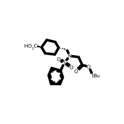 CC(C)(C)OC(=O)CN(C[C@H]1CC[C@H](C(=O)O)CC1)S(=O)(=O)c1ccccc1